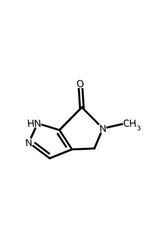 CN1Cc2cn[nH]c2C1=O